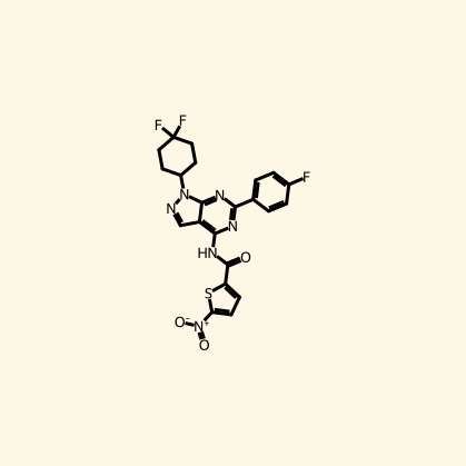 O=C(Nc1nc(-c2ccc(F)cc2)nc2c1cnn2C1CCC(F)(F)CC1)c1ccc([N+](=O)[O-])s1